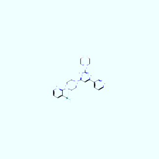 FC(F)(F)c1cccnc1N1CCN(c2cc(-c3cccnc3)nc(N3CCOCC3)n2)CC1